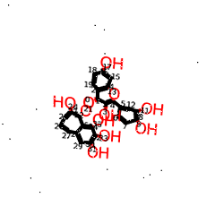 O=c1c(O)c(-c2ccc(O)c(O)c2)oc2cc(O)ccc12.O=c1c(O)cccc2cc(O)c(O)c(O)c12